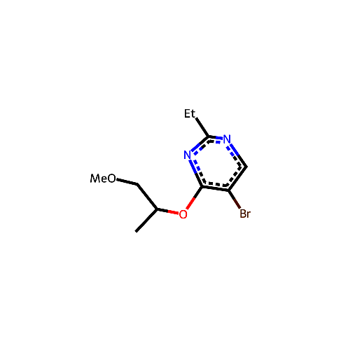 CCc1ncc(Br)c(OC(C)COC)n1